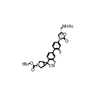 CC(=O)NC[C@H]1CN(c2ccc(-c3ccc(C4(C#N)C5CN(C(=O)OC(C)(C)C)CC54)c(F)c3)c(F)c2)C(=O)O1